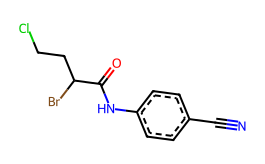 N#Cc1ccc(NC(=O)C(Br)CCCl)cc1